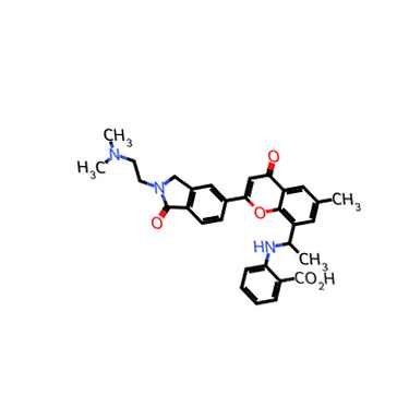 Cc1cc(C(C)Nc2ccccc2C(=O)O)c2oc(-c3ccc4c(c3)CN(CCN(C)C)C4=O)cc(=O)c2c1